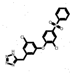 O=S(=O)(c1ccccc1)c1ccc(Oc2cc(Cl)cc(Cc3nnn[nH]3)c2)c(Cl)c1